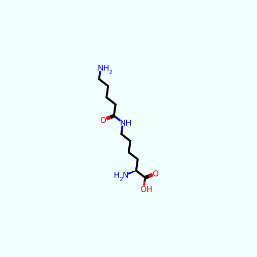 NCCCCC(=O)NCCCC[C@H](N)C(=O)O